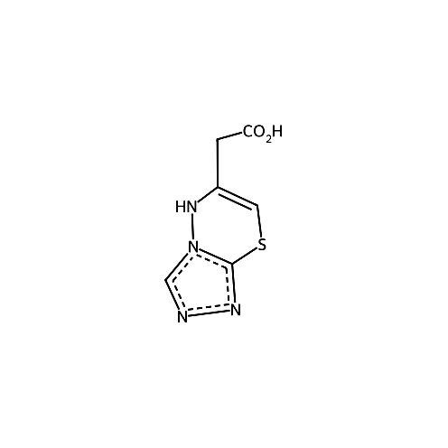 O=C(O)CC1=CSc2nncn2N1